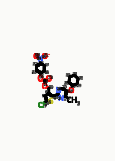 Cc1nc(-c2sc(Cl)cc2COC(=O)Oc2ccc([N+](=O)[O-])cc2)ncc1OC1CCCCC1